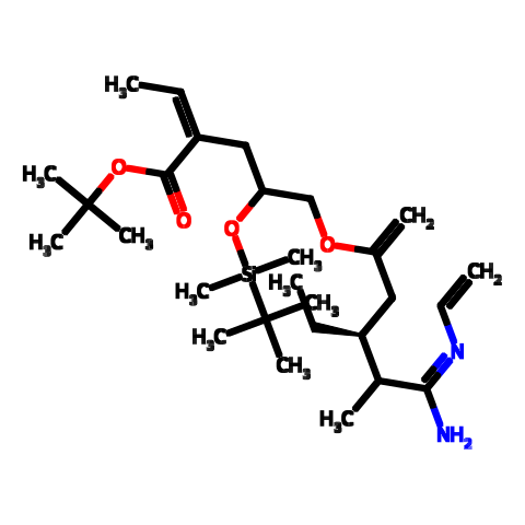 C=C/N=C(/N)C(C)[C@@H](CC)CC(=C)OCC(C/C(=C/C)C(=O)OC(C)(C)C)O[Si](C)(C)C(C)(C)C